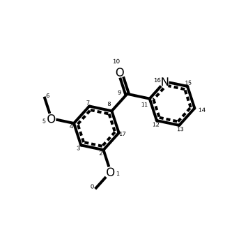 COc1cc(OC)cc(C(=O)c2ccccn2)c1